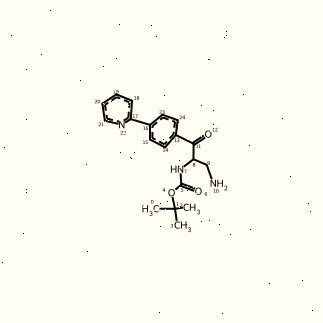 CC(C)(C)OC(=O)NC(CN)C(=O)c1ccc(-c2ccccn2)cc1